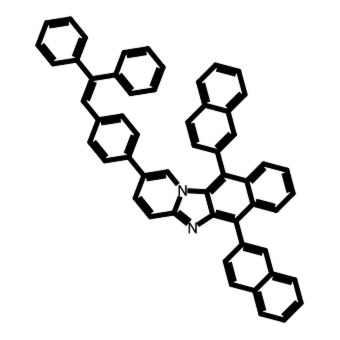 C(=C(c1ccccc1)c1ccccc1)c1ccc(-c2ccc3nc4c(-c5ccc6ccccc6c5)c5ccccc5c(-c5ccc6ccccc6c5)c4n3c2)cc1